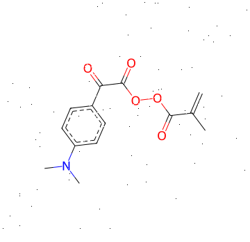 C=C(C)C(=O)OOC(=O)C(=O)c1ccc(N(C)C)cc1